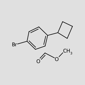 Brc1ccc(C2CCC2)cc1.COC=O